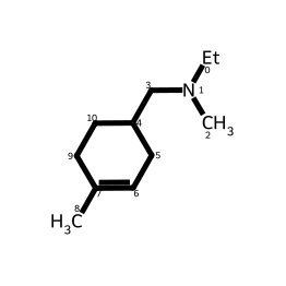 CCN(C)CC1CC=C(C)CC1